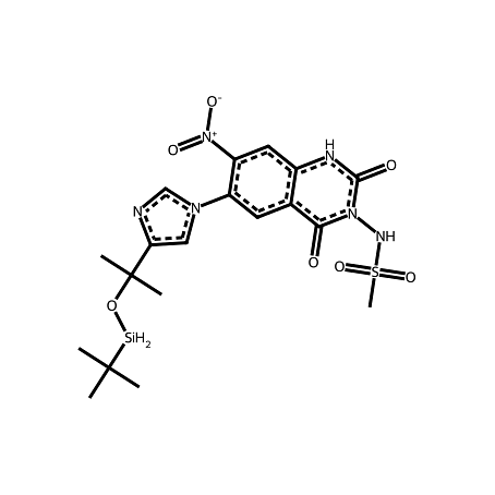 CC(C)(C)[SiH2]OC(C)(C)c1cn(-c2cc3c(=O)n(NS(C)(=O)=O)c(=O)[nH]c3cc2[N+](=O)[O-])cn1